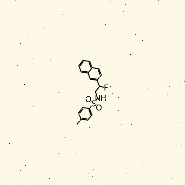 Cc1ccc(S(=O)(=O)NCC(F)c2ccc3ccccc3c2)cc1